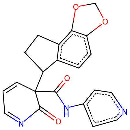 O=C1N=CC=CC1(C(=O)Nc1ccncc1)C1CCc2c1ccc1c2OCO1